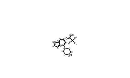 O=C(O)C(F)(F)F.c1cc(N2CCNCC2)c2cc[nH]c2c1